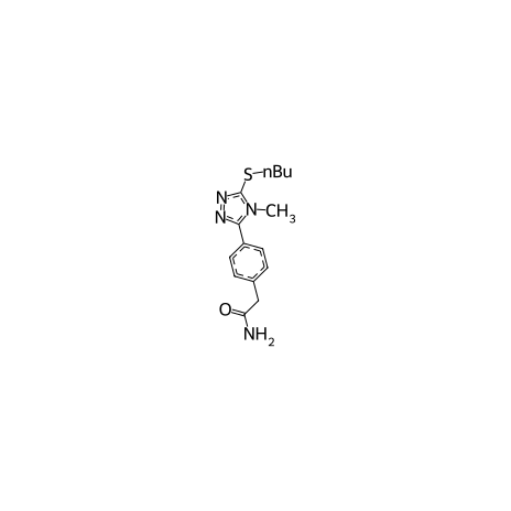 CCCCSc1nnc(-c2ccc(CC(N)=O)cc2)n1C